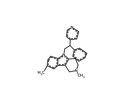 Cc1ccc2c(c1)c1c(n2CC(c2ccccc2)c2ccncc2)CCN(C)C1